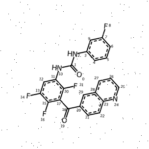 O=C(Nc1cccc(F)c1)Nc1cc(F)c(F)c(C(=O)c2ccc3ncccc3c2)c1F